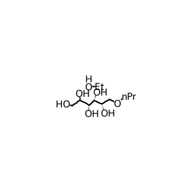 CCCOC[C@H](O)[C@@H](O)[C@H](O)[C@H](O)CO.CCO